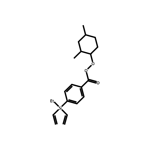 C=C[Si](C=C)(CC)c1ccc(C(=O)OO[C]2CCC(C)CC2C)cc1